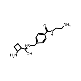 NCCNC(=O)c1ccc(C[SH]=C(O)C2CCC2N)cc1